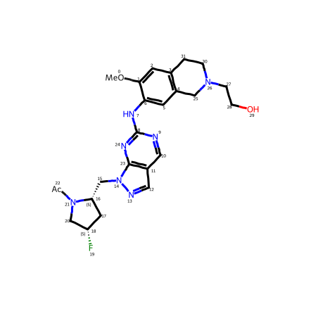 COc1cc2c(cc1Nc1ncc3cnn(C[C@@H]4C[C@H](F)CN4C(C)=O)c3n1)CN(CCO)CC2